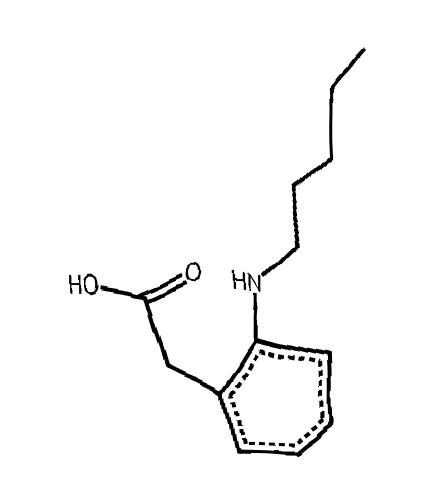 CCCCCNc1ccccc1CC(=O)O